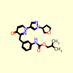 CC(C)COC(=O)Nc1cccc(Cc2nn(-c3cnn(C4CCOC4)c3)ccc2=O)c1